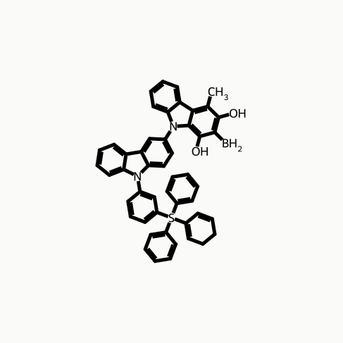 Bc1c(O)c(C)c2c3ccccc3n(-c3ccc4c(c3)c3ccccc3n4-c3cccc(S(C4=CCCC=C4)(c4ccccc4)c4ccccc4)c3)c2c1O